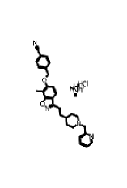 CNC.Cc1c(OCc2ccc(C#N)cc2)ccc2c(CCC3CCN(Cc4ccccn4)CC3)noc12.Cl.Cl.Cl